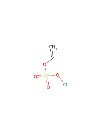 C=COS(=O)(=O)OCl